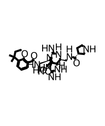 CC1(C)CCOc2c(C(=O)N[C@H]3CN4C(=N)N[C@@H](CNC(=O)[C@@H]5CCNC5)[C@@H]5NC(=N)N[C@@]54C3(O)O)cccc21